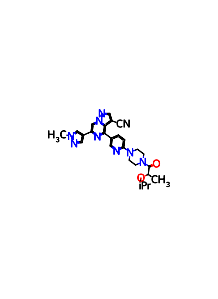 CC(C)OC(C)C(=O)N1CCN(c2ccc(-c3nc(-c4cnn(C)c4)cn4ncc(C#N)c34)cn2)CC1